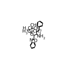 CC(C)(C)[Si](C)(C)OC(c1nc2ccccc2o1)[C@@H](N)CCc1ccccc1